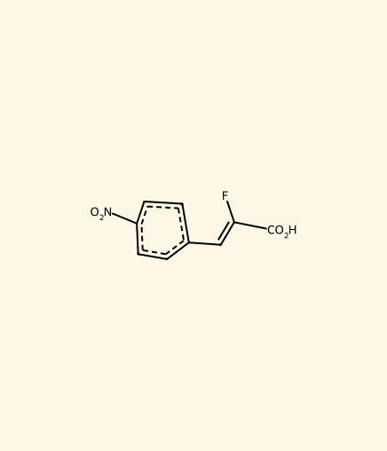 O=C(O)/C(F)=C/c1ccc([N+](=O)[O-])cc1